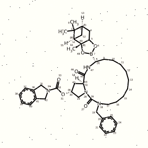 CC1(C)[C@H]2CC3OB([C@@H]4CCCCCCCCCN(Cc5ccccc5)C(=O)N5C[C@H](OC(=O)N6Cc7ccccc7C6)C[C@H]5C(=O)N4)O[C@]3(C)[C@@H]1C2